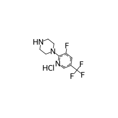 Cl.Fc1cc(C(F)(F)F)cnc1N1CCNCC1